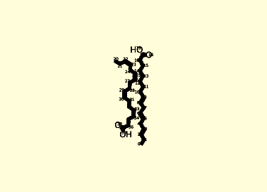 CC/C=C/C/C=C/C/C=C/CCCCCCCC(=O)O.CC/C=C\C/C=C\CC/C=C\CC/C=C\CCC(=O)O